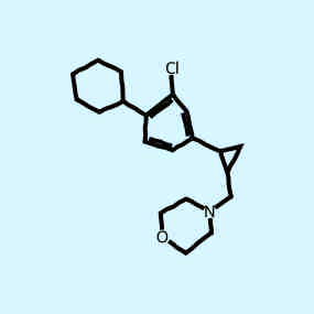 Clc1cc(C2CC2CN2CCOCC2)ccc1C1CCCCC1